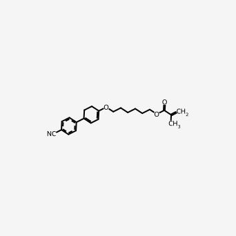 C=C(C)C(=O)OCCCCCCOC1=CC=C(c2ccc(C#N)cc2)CC1